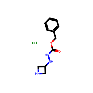 Cl.O=C(NNC1CNC1)OCc1ccccc1